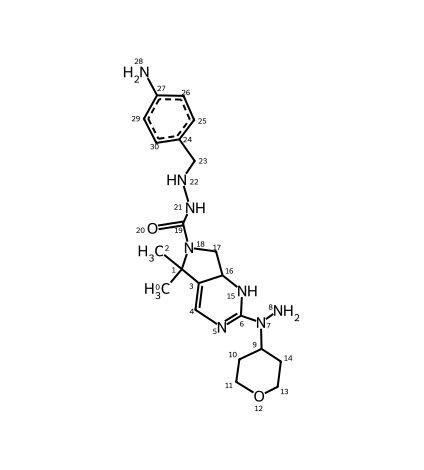 CC1(C)C2=CN=C(N(N)C3CCOCC3)NC2CN1C(=O)NNCc1ccc(N)cc1